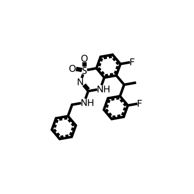 CC(c1ccccc1F)c1c(F)ccc2c1NC(NCc1ccccc1)=NS2(=O)=O